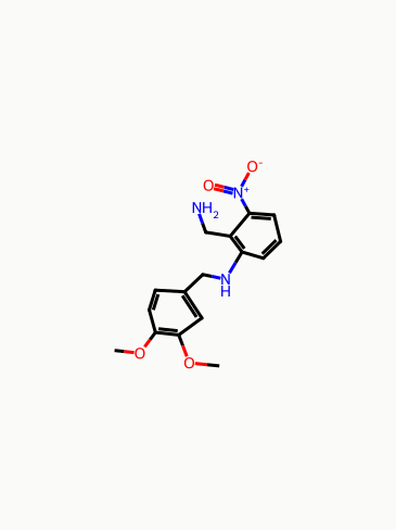 COc1ccc(CNc2cccc([N+](=O)[O-])c2CN)cc1OC